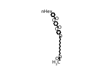 C=CC(=O)OCCCCCCCCCCCOc1ccc(OC(=O)C2CCC(OC(=O)c3ccc(CCCCCC)cc3)CC2)cc1